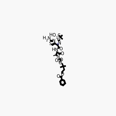 C[C@H]1[C@H](NC(=O)/C(=N/OC(C)(C)C(=O)O)c2csc(N)n2)C(=O)N1S(=O)(=O)OCC(C)(C)CCOC(=O)c1ccccc1